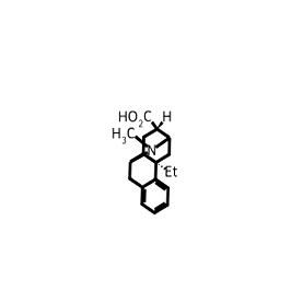 CC[C@@]12CC3[C@@H](C(=O)O)CC1C(Cc1ccccc12)N3C